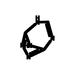 C1=Nc2nnc([nH]2)N1